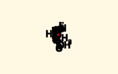 CN1C(=O)C(NC(=O)c2cc(Cc3cccnc3F)ccn2)CCc2ccc(C#CC3(O)COC3)cc21